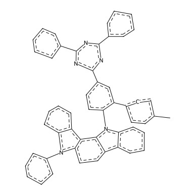 Cc1ccc(-c2cc(-c3nc(-c4ccccc4)nc(-c4ccccc4)n3)ccc2-n2c3ccccc3c3ccc4c(c5ccccc5n4-c4ccccc4)c32)cc1